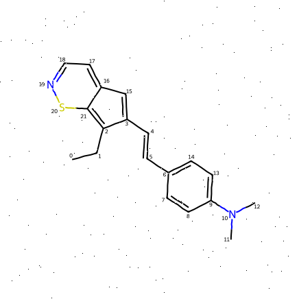 CCc1c(C=Cc2ccc(N(C)C)cc2)cc2ccnsc1-2